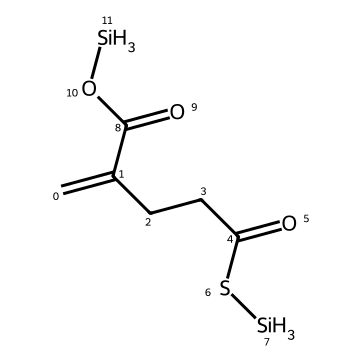 C=C(CCC(=O)S[SiH3])C(=O)O[SiH3]